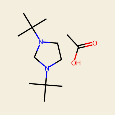 CC(=O)O.CC(C)(C)N1CCN(C(C)(C)C)C1